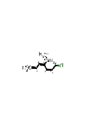 C=C/C=C(\C=C/CCl)[SiH2]C